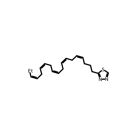 CC/C=C\C/C=C\C/C=C\C/C=C\C/C=C\CCCc1nncs1